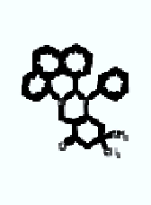 CC1(C)CC(=O)C2=C(C1)N(c1ccccc1)C(c1cccc3ccccc13)N(c1ccccc1)C2